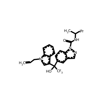 C=CCn1cc(C(O)(c2ccc3c(cnn3C(=O)NC(C)C(C)C)c2)C(F)(F)F)c2ccccc21